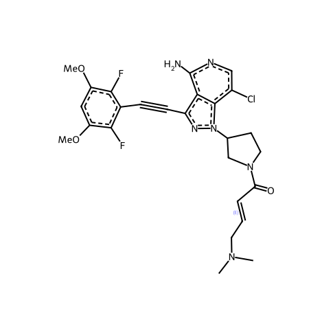 COc1cc(OC)c(F)c(C#Cc2nn(C3CCN(C(=O)/C=C/CN(C)C)C3)c3c(Cl)cnc(N)c23)c1F